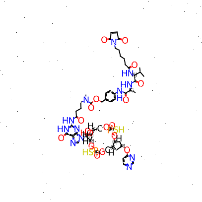 CC(C)[C@H](NC(=O)CCCCCN1C(=O)C=CC1=O)C(=O)N[C@@H](C)C(=O)Nc1ccc(COC(=O)N(C)CCCC(=O)Nc2nc3c(ncn3[C@@H]3O[C@H]4CO[P@@](=O)(S)O[C@H]5C[C@H](Oc6ccncn6)C[C@@H]5CO[P@@](=O)(S)O[C@@H]3[C@@H]4O)c(=O)[nH]2)cc1